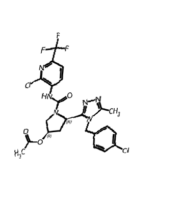 CC(=O)O[C@@H]1C[C@H](c2nnc(C)n2Cc2ccc(Cl)cc2)N(C(=O)Nc2ccc(C(F)(F)F)nc2Cl)C1